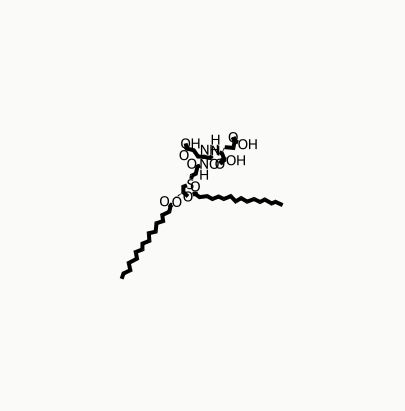 CCCCCCCCCCCCCCCC(=O)OC[C@H](CSCCC(=O)N[C@](N)(CCC(=O)O)C(=O)N[C@H](CCC(=O)O)C(=O)O)OC(=O)CCCCCCCCCCCCCCC